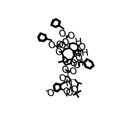 COc1ccc(C2O[C@@H](C(=O)O[C@H]3C[C@@]4(O)[C@@H](OC(=O)c5ccccc5)[C@@H]5[C@]6(O)CO[C@@H]6C[C@H](OC(=O)OCc6ccccc6)[C@@]5(C)C(=O)C(OC(=O)OCc5ccccc5)C(=C3C)C4(C)C)[C@H](CC(C)C)N2C(=O)OC(C)(C)C)c(OC)c1